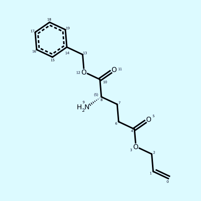 C=CCOC(=O)CC[C@H](N)C(=O)OCc1ccccc1